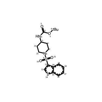 CC(C)(C)OC(=O)NC1CCN(S(=O)(=O)c2csc3ccccc23)CC1